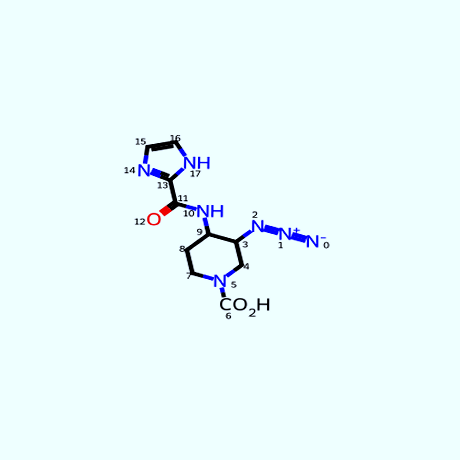 [N-]=[N+]=NC1CN(C(=O)O)CCC1NC(=O)c1ncc[nH]1